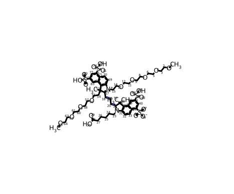 COCCOCCOCCOCCOCC[N+]1=C(/C=C/C=C2/N(CCCCCC(=O)O)c3ccc4c(S(=O)(=O)[O-])cc(S(=O)(=O)O)cc4c3C2(C)C)C(C)(CCOCCOCCOCCOC)c2c1ccc1c(S(=O)(=O)O)cc(S(=O)(=O)O)cc21